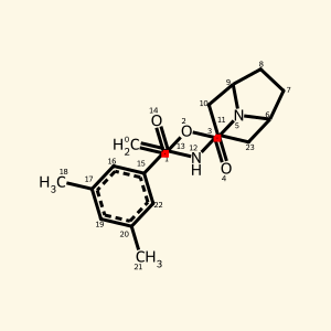 C=COC(=O)N1C2CCC1CC(NC(=O)c1cc(C)cc(C)c1)C2